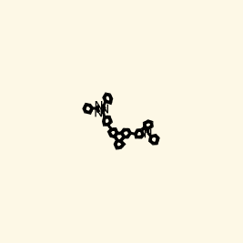 c1ccc(-c2nc(-c3ccccc3)nc(-c3ccc(-c4ccc5c6ccccc6c6cc(-c7ccc8c(c7)c7ccccc7n8-c7ccccc7)ccc6c5c4)cc3)n2)cc1